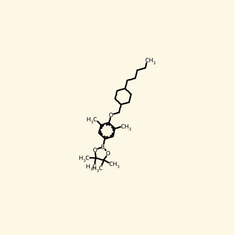 CCCCCC1CCC(COc2c(C)cc(B3OC(C)(C)C(C)(C)O3)cc2C)CC1